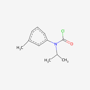 Cc1cccc(N(C(=O)Cl)C(C)C)c1